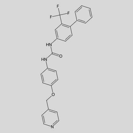 O=C(Nc1ccc(OCc2ccncc2)cc1)Nc1ccc(-c2ccccc2)c(C(F)(F)F)c1